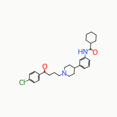 O=C(CCCN1CCC(c2cccc(NC(=O)C3CCCCC3)c2)CC1)c1ccc(Cl)cc1